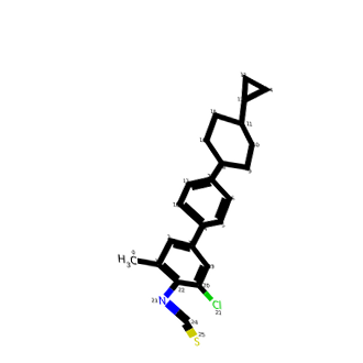 Cc1cc(-c2ccc(C3CCC(C4CC4)CC3)cc2)cc(Cl)c1N=C=S